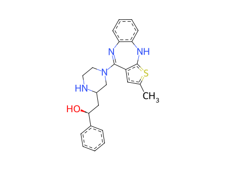 Cc1cc2c(s1)Nc1ccccc1N=C2N1CCNC(C[C@H](O)c2ccccc2)C1